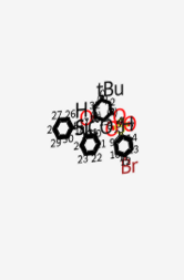 CC(C)(C)[C@@H]1C[C@@H](OS(=O)(=O)c2ccc(Br)cc2)C[C@@](O[SiH](c2ccccc2)c2ccccc2)(C(=O)O)C1